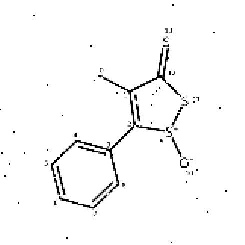 Cc1c(-c2ccccc2)[s+]([O-])sc1=S